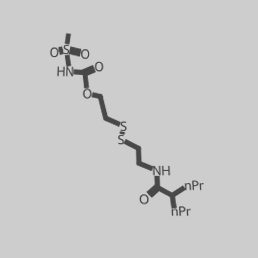 CCCC(CCC)C(=O)NCCSSCCOC(=O)NS(C)(=O)=O